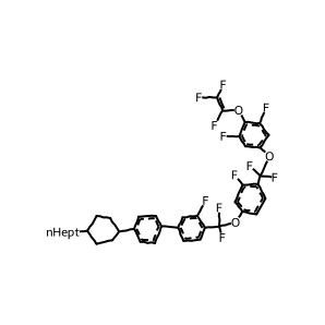 CCCCCCCC1CCC(c2ccc(-c3ccc(C(F)(F)Oc4ccc(C(F)(F)Oc5cc(F)c(OC(F)=C(F)F)c(F)c5)c(F)c4)c(F)c3)cc2)CC1